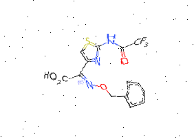 O=C(O)/C(=N/OCc1ccccc1)c1csc(NC(=O)C(F)(F)F)n1